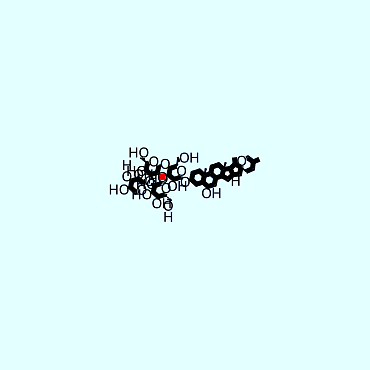 CC1CC[C@]2(C[C@H]3CC4C5C[C@@H](O)C6C[C@@H](O[C@@H]7O[C@H](CO)[C@H](O[C@@H]8O[C@H](CO)[C@@H](O)[C@H](O[C@@H]9OC[C@@H](O)[C@H](O)[C@H]9O)[C@H]8O[C@@H]8O[C@H](CO)[C@@H](O)[C@H](O)[C@H]8O)[C@H](O)[C@H]7O)CC[C@]6(C)C5CC[C@]4(C)C3C2C)OC1